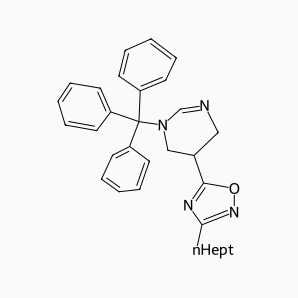 CCCCCCCc1noc(C2CN=CN(C(c3ccccc3)(c3ccccc3)c3ccccc3)C2)n1